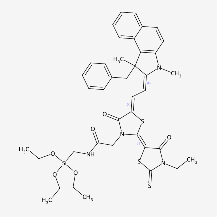 CCO[Si](CNC(=O)Cn1c(=O)/c(=C/C=C2/N(C)c3ccc4ccccc4c3C2(C)Cc2ccccc2)s/c1=C1/SC(=S)N(CC)C1=O)(OCC)OCC